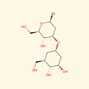 CC[C@H]1C[C@@H](O[C@@H]2C[C@H](CO)[C@@H](O)[C@H](O)C2)[C@H](O)[C@@H](CO)O1